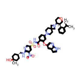 CC(C)c1ccccc1[C@@H]1COCCC1N1CC2(CCN(c3ccc(C(=O)NS(=O)(=O)c4cnc(NC[C@H]5CC[C@](C)(O)CC5)c([N+](=O)[O-])c4)c(Oc4cnc5[nH]ccc5c4)c3)CC2)C1